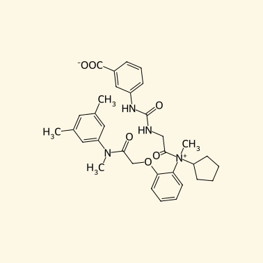 Cc1cc(C)cc(N(C)C(=O)COc2ccccc2[N+](C)(C(=O)CNC(=O)Nc2cccc(C(=O)[O-])c2)C2CCCC2)c1